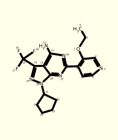 CCOc1cnccc1-c1nc(N)c2c(C(F)(F)F)nn(C3CCCC3)c2n1